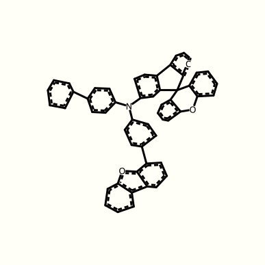 c1ccc(-c2ccc(N(c3ccc(-c4cccc5c4oc4ccccc45)cc3)c3ccc4c(c3)C3(c5ccccc5Oc5ccccc53)c3ccccc3-4)cc2)cc1